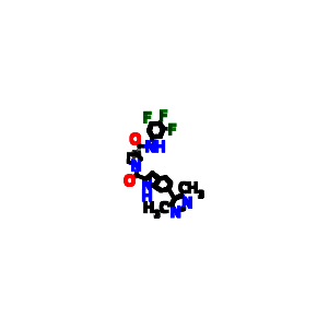 Cc1ncnc(C)c1-c1ccc2cc(C(=O)N3CC[C@H](C(=O)Nc4cc(F)c(F)c(F)c4)C3)[nH]c2c1